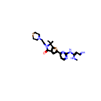 CN/C(=C\C=N)Nc1nccc(-c2cc3c(s2)C(C)(C)N(CCN2CCSCC2)C3=O)n1